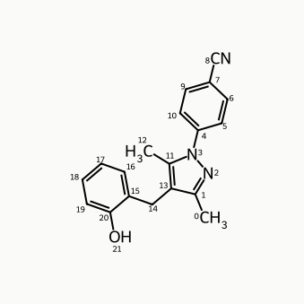 Cc1nn(-c2ccc(C#N)cc2)c(C)c1Cc1ccccc1O